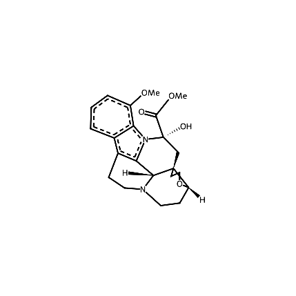 COC(=O)[C@@]1(O)C[C@]23CCO[C@H]2CCN2CCc4c(n1c1c(OC)cccc41)[C@@H]23